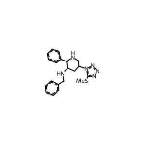 CSc1nnnn1C1CN[C@H](c2ccccc2)[C@H](NCc2ccccc2)C1